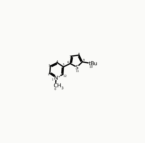 C[n+]1cccc(-c2ccc(C(C)(C)C)s2)c1